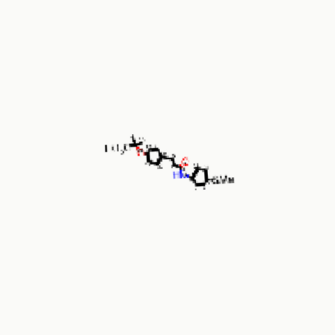 CSc1ccc(NC(=O)CCc2ccc(OC(C)(C)C(=O)O)cc2)cc1